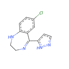 Clc1ccc2c(c1)C(c1ccn[nH]1)=NCCN2